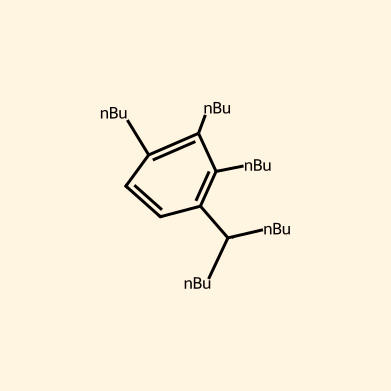 CCCC[C](CCCC)c1ccc(CCCC)c(CCCC)c1CCCC